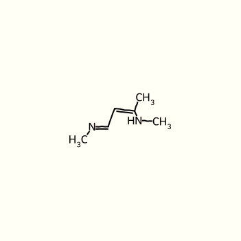 C/N=C/C=C(/C)NC